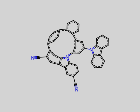 N#Cc1ccc2c(c1)c1cc(C#N)c3cc1n2c1cc(-n2c4ccccc4c4ccccc42)cc(c1)c1ccccc1c1ccc3cc1